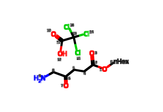 CCCCCCOC(=O)CCC(=O)CN.O=C(O)C(Cl)(Cl)Cl